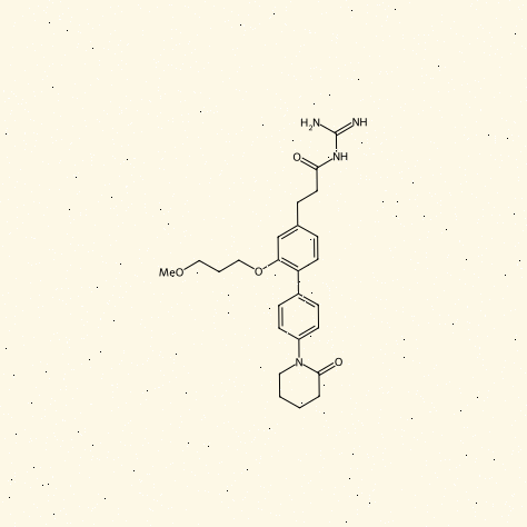 COCCCOc1cc(CCC(=O)NC(=N)N)ccc1-c1ccc(N2CCCCC2=O)cc1